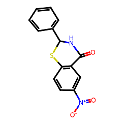 O=C1NC(c2ccccc2)Sc2ccc([N+](=O)[O-])cc21